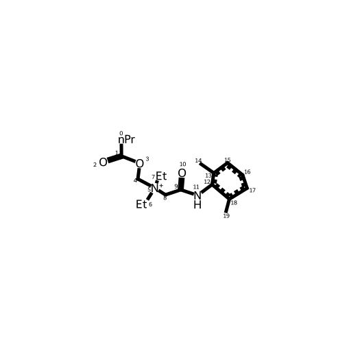 CCCC(=O)OC[N+](CC)(CC)CC(=O)Nc1c(C)cccc1C